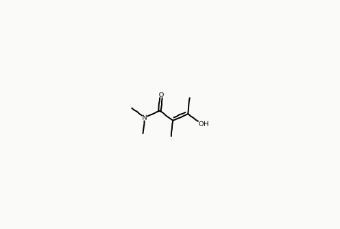 CC(O)=C(C)C(=O)N(C)C